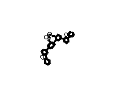 O=S1(=O)Cc2cc(-c3ccc4oc5ccccc5c4c3)ccc2-c2cc(-c3cccc4c3oc3ccccc34)ccc2C1